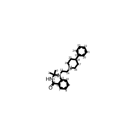 CC1(C)NC(=O)c2ccccc2N1CCN1CCC(c2ccccc2)CC1